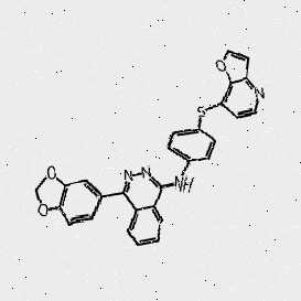 c1ccc2c(-c3ccc4c(c3)OCO4)nnc(Nc3ccc(Sc4ccnc5ccoc45)cc3)c2c1